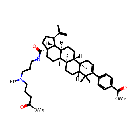 C=C(C)[C@@H]1CC[C@]2(C(=O)NCCCN(CC)CCCC(=O)OC)CC[C@]3(C)[C@H](CC[C@@H]4[C@@]5(C)CC=C(c6ccc(C(=O)OC)cc6)C(C)(C)[C@@H]5CC[C@]43C)[C@@H]12